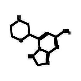 CC1=NC2=NCNN2C(C2CNCCO2)=C1